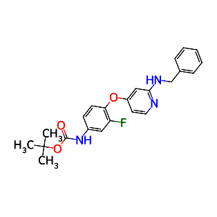 CC(C)(C)OC(=O)Nc1ccc(Oc2ccnc(NCc3ccccc3)c2)c(F)c1